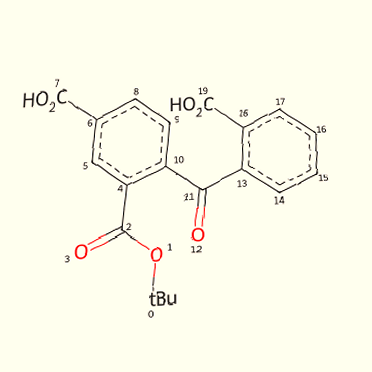 CC(C)(C)OC(=O)c1cc(C(=O)O)ccc1C(=O)c1ccccc1C(=O)O